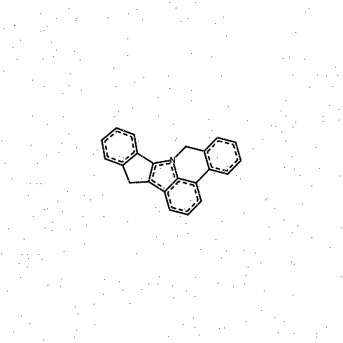 c1ccc2c(c1)Cn1c3c(c4cccc-2c41)Cc1ccccc1-3